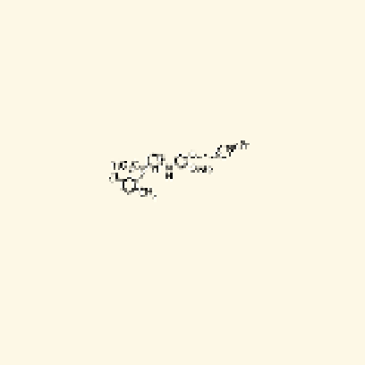 CCCN1CCN(CCCOc2ccc(Nc3nccc(N(Cc4cc(Cl)ccc4C)C(=O)O)n3)cc2OC)CC1